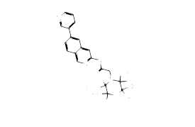 BC1(B)OC(B)(B)C(B)(B)N(CC(=O)Nc2cc3cc(-c4cccnc4)ccc3cn2)C1(B)B